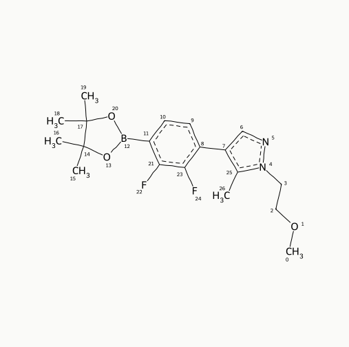 COCCn1ncc(-c2ccc(B3OC(C)(C)C(C)(C)O3)c(F)c2F)c1C